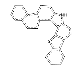 c1ccc2c(c1)ccc1c2ccc2[nH]c3ccc4c5ccccc5sc4c3c21